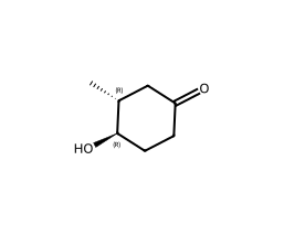 C[C@@H]1CC(=O)CC[C@H]1O